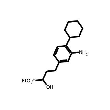 CCOC(=O)C(O)CCc1ccc(C2CCCCC2)c(N)c1